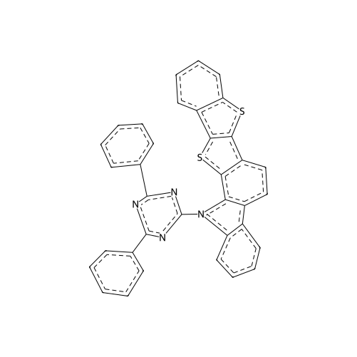 c1ccc(-c2nc(-c3ccccc3)nc(-n3c4ccccc4c4ccc5c6sc7ccccc7c6sc5c43)n2)cc1